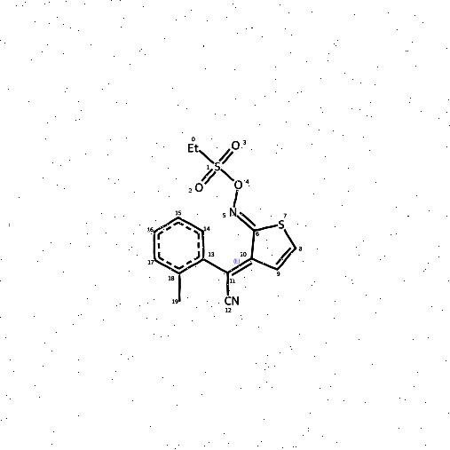 CCS(=O)(=O)ON=C1SC=C/C1=C(\C#N)c1ccccc1C